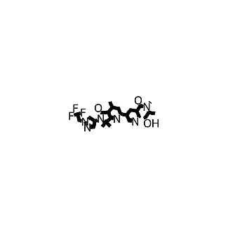 CC1CC(C2C=NCC(C(=O)N(C)C(C)CO)C2)N=C2C1C(=O)N(C1C=NN(CC(F)(F)F)C1)C2(C)C